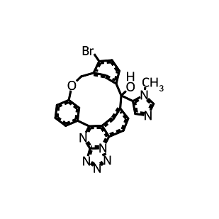 Cn1cncc1C1(O)c2ccc(Br)c(c2)COc2cccc(c2)-c2nc3nnnn3c3ccc1cc23